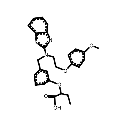 CCC(Oc1cccc(CN(CCOc2ccc(OC)cc2)c2nc3ccccc3s2)c1)C(=O)O